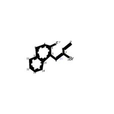 C=C/C(Br)=C\c1c(F)ccc2ccccc12